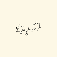 O=C(CCC1CCCCC1)N1CCOCC1